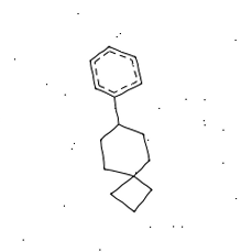 c1ccc(C2CCC3(CCC3)CC2)cc1